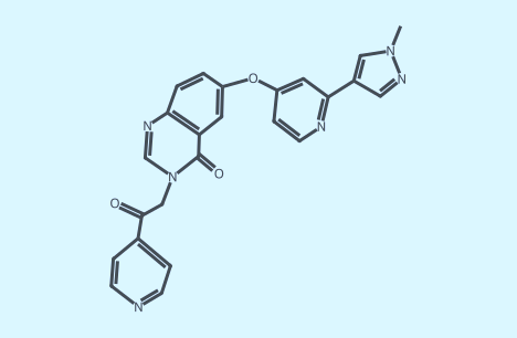 Cn1cc(-c2cc(Oc3ccc4ncn(CC(=O)c5ccncc5)c(=O)c4c3)ccn2)cn1